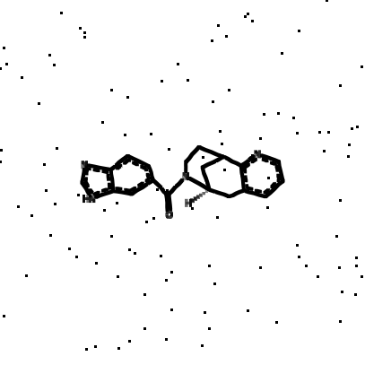 O=C(c1ccc2nc[nH]c2c1)N1CCC2C[C@H]1Cc1cccnc12